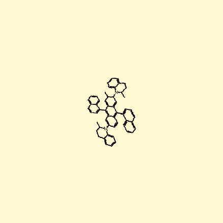 CC1C=c2c(-c3cccc4ccccc34)c3cc(N4c5ccccc5CCC4C)ccc3c(-c3cccc4ccccc34)c2=CC1N1c2ccccc2CCC1C